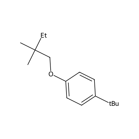 CCC(C)(C)COc1ccc(C(C)(C)C)cc1